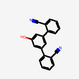 N#Cc1ccccc1-c1cc(O)cc(-c2ccccc2C#N)c1